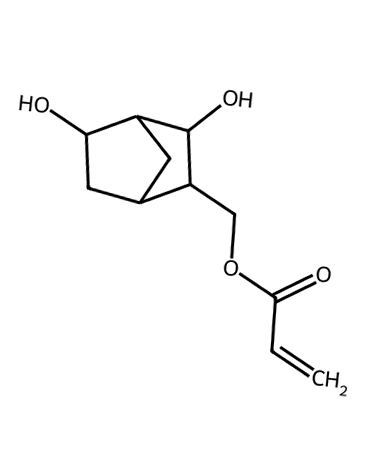 C=CC(=O)OCC1C2CC(O)C(C2)C1O